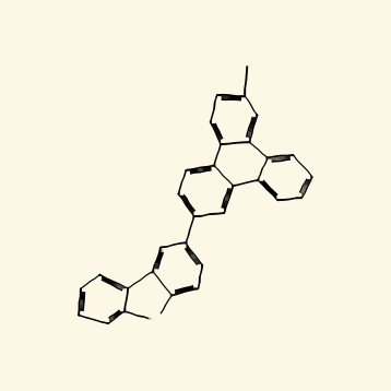 Cc1ccc2c3ccc(-c4ccc5oc6ccccc6c5c4)cc3c3ccccc3c2c1